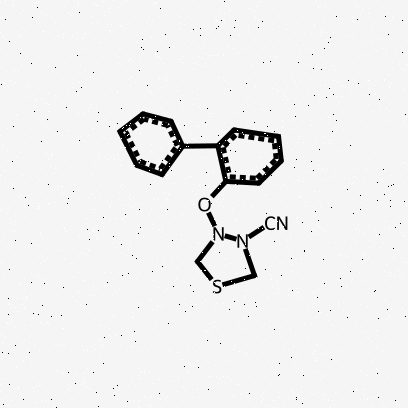 N#CN1CSCN1Oc1ccccc1-c1ccccc1